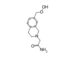 NC(=O)CN1CCc2ccc(COO)cc2C1